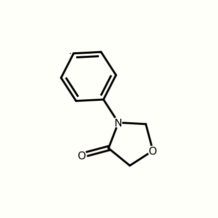 O=C1COCN1c1cc[c]cc1